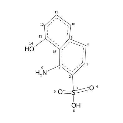 Nc1c(S(=O)(=O)O)ccc2cccc(O)c12